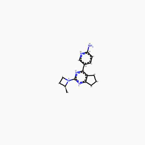 C[C@H]1CCN1c1nc2c(c(-c3ccc(N)nc3)n1)CCC2